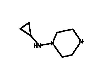 C1CN(NC2CC2)CC[N]1